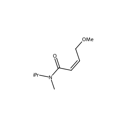 COC/C=C\C(=O)N(C)C(C)C